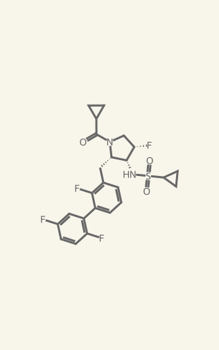 O=C(C1CC1)N1C[C@H](F)[C@H](NS(=O)(=O)C2CC2)[C@@H]1Cc1cccc(-c2cc(F)ccc2F)c1F